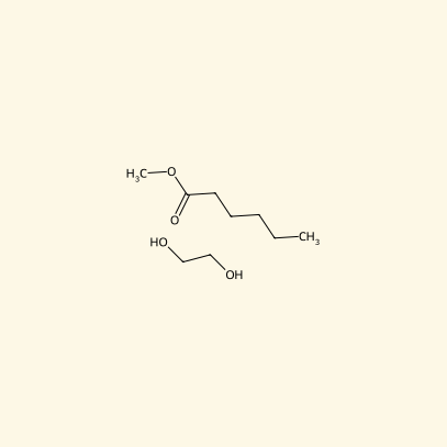 CCCCCC(=O)OC.OCCO